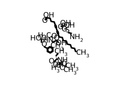 CC(=O)NC(C)C(=O)O.CCCCCCCCCCC#CC#CCCCC(=O)O.CCC[C@H](NC(=O)OC(C)(C)C)C(=O)O.NCCSOP(=O)(O)O.O=C(O)COCc1ccccc1